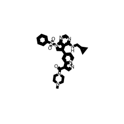 CN1CCN(C(=O)c2cnn3ccc(-c4cn(S(=O)(=O)c5ccccc5)c5ncnc(NCC6CC6)c45)cc23)CC1